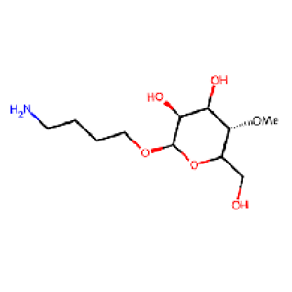 CO[C@@H]1C(CO)O[C@@H](OCCCCN)[C@@H](O)C1O